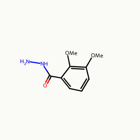 COc1cccc(C(=O)NN)c1OC